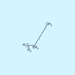 CCCCCCCCCCCCCCCCCCCCC(C)CCCC(C)C